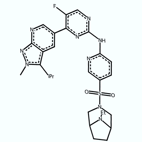 CCN1C2CCC1CN(S(=O)(=O)c1ccc(Nc3ncc(F)c(-c4cnc5nn(C)c(C(C)C)c5c4)n3)nc1)C2